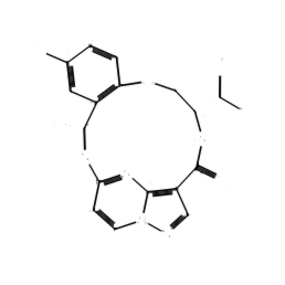 C[C@H]1Nc2ccn3ncc(c3n2)C(=O)N[C@@H](C(F)F)COc2ccc(F)cc21